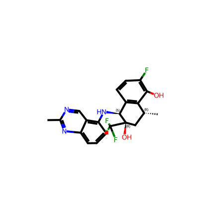 Cc1ncc2c(N[C@H]3c4ccc(F)c(O)c4[C@H](C)C[C@]3(O)C(F)(F)F)cccc2n1